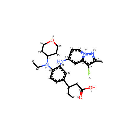 CCC(CC(=O)O)c1ccc(N(CC)C2CCOCC2)c(Nc2ccn3nc(C)c(F)c3c2)c1